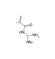 C=C(C)C(=O)NC(N)CCCC